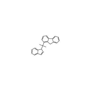 CC(C)(c1cccc2c1Cc1ccccc1-2)C1C=Cc2ccccc21